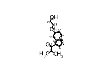 CC(C)C(=O)c1cnn2ccc(OCCO)cc12